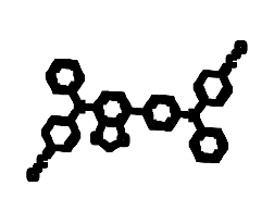 O=C=C1C=CC(N(c2ccccc2)c2ccc(-c3ccc(N(C4=CCC(=C=O)C=C4)c4ccccc4)c4c3OCO4)cc2)=CC1